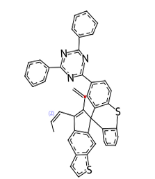 C=CC1=C(/C=C\C)c2cc3ccsc3cc2C12c1ccccc1Sc1ccc(-c3nc(-c4ccccc4)nc(-c4ccccc4)n3)cc12